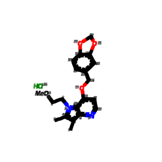 COCCn1c(C)c(C)c2nccc(OCc3ccc4c(c3)OCO4)c21.Cl